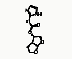 O=C(Oc1ncc[nH]1)OC1COC2OCCC12